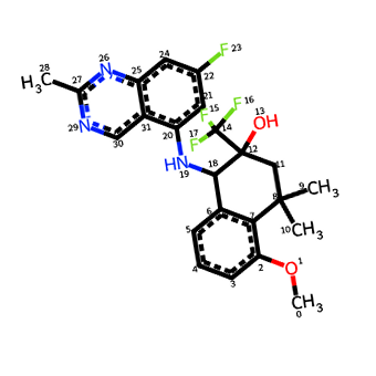 COc1cccc2c1C(C)(C)CC(O)(C(F)(F)F)C2Nc1cc(F)cc2nc(C)ncc12